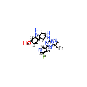 CC(C)c1cnn2c(N[C@@H]3CCc4[nH]c5cc(O)ccc5c4C3)nc(-c3cncc(F)c3)nc12